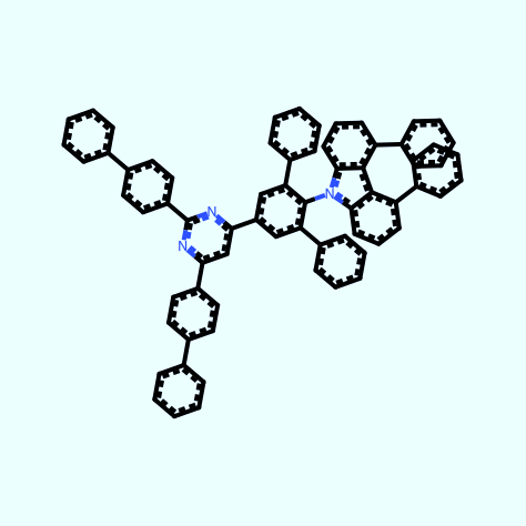 c1ccc(-c2ccc(-c3cc(-c4cc(-c5ccccc5)c(-n5c6cccc(-c7ccccc7)c6c6c(-c7ccccc7)cccc65)c(-c5ccccc5)c4)nc(-c4ccc(-c5ccccc5)cc4)n3)cc2)cc1